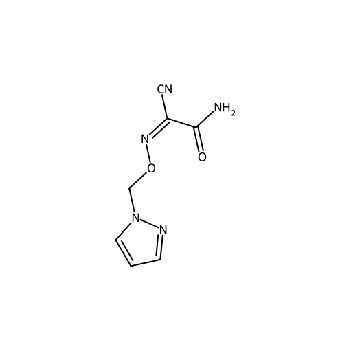 N#CC(=NOCn1cccn1)C(N)=O